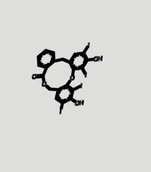 O=C1OCc2cc(I)c(O)c(I)c2Oc2c(cc(I)c(O)c2I)Cc2ccccc21